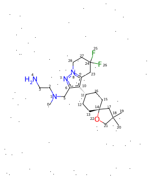 CN(CCN)Cc1nn2c(c1[C@H]1CC[C@@]3(CC1)CC(C)(C)CO3)CC(F)(F)CC2